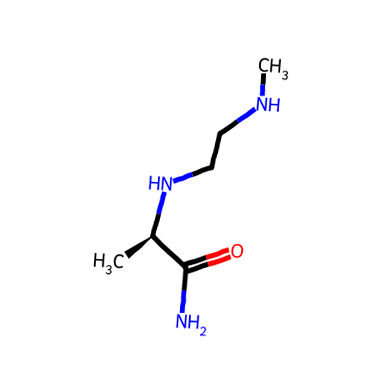 CNCCN[C@H](C)C(N)=O